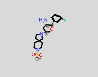 CS(=O)(=O)N1CCC2(CCN([C@H]3CO[C@H](c4cc(F)ccc4F)[C@@H](N)C3)C2)CC1